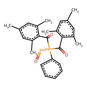 Cc1cc(C)c(C(=O)[PH](P=O)(C(=O)c2c(C)cc(C)cc2C)c2ccccc2)c(C)c1